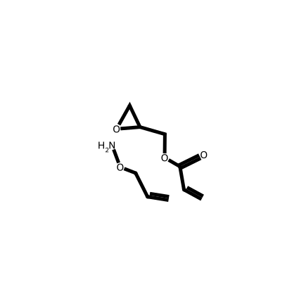 C=CC(=O)OCC1CO1.C=CCON